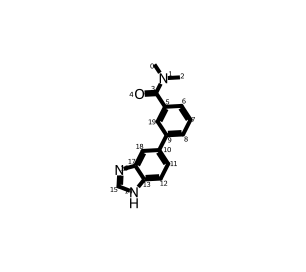 CN(C)C(=O)c1cccc(-c2ccc3[nH]cnc3c2)c1